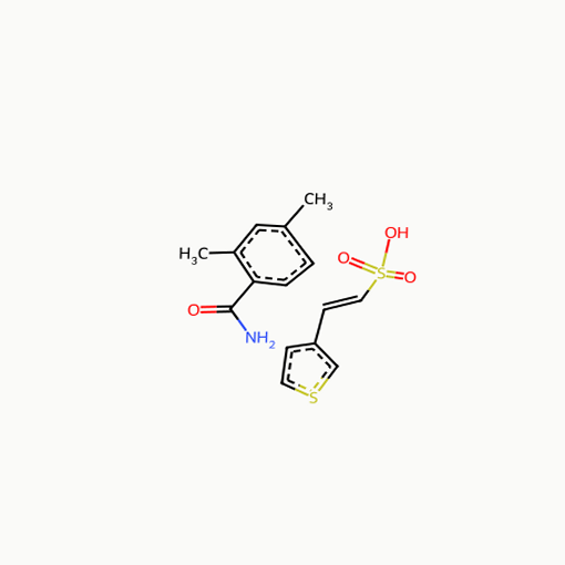 Cc1ccc(C(N)=O)c(C)c1.O=S(=O)(O)C=Cc1ccsc1